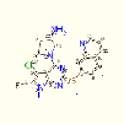 CCc1[nH]c2nc(Sc3ccc4cccnc4c3)nc(N3CCC(N)C3)c2c1Cl